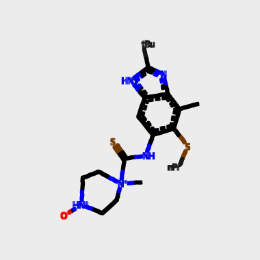 CCCSc1c(NC(=S)[N+]2(C)CC[NH+]([O-])CC2)cc2[nH]c(C(C)(C)C)nc2c1C